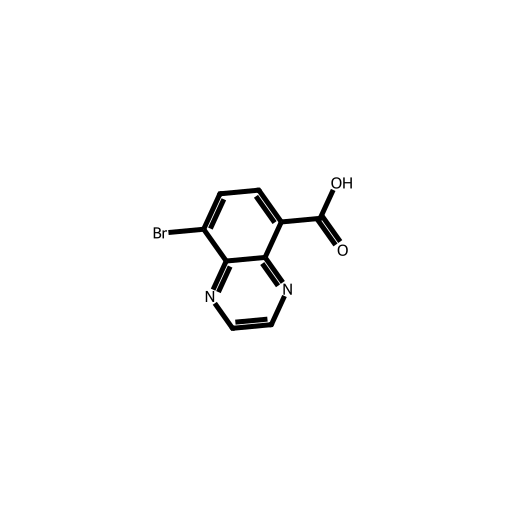 O=C(O)c1ccc(Br)c2nccnc12